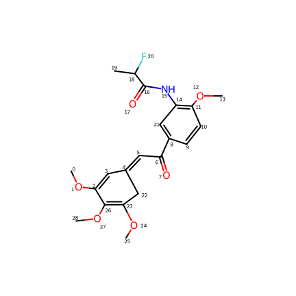 COC1=CC(=CC(=O)c2ccc(OC)c(NC(=O)C(C)F)c2)CC(OC)=C1OC